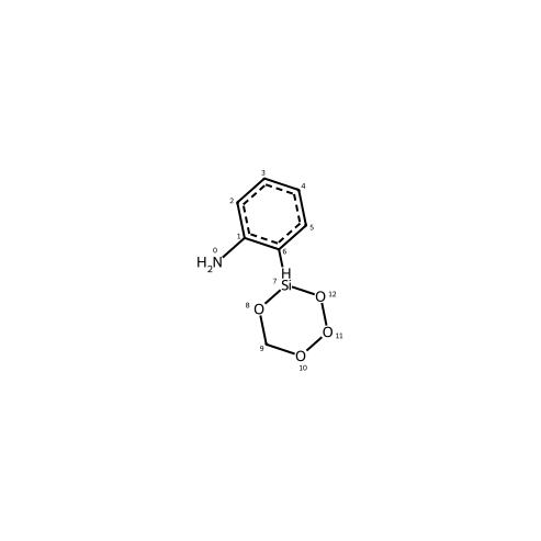 Nc1ccccc1[SiH]1OCOOO1